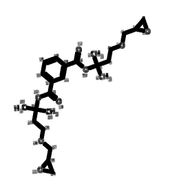 CC(C)(CCOCC1CO1)OC(=O)c1cccc(C(=O)OC(C)(C)CCOCC2CO2)c1